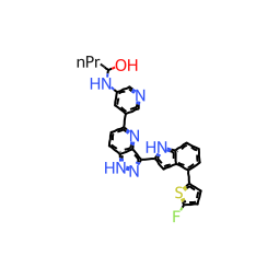 CCCC(O)Nc1cncc(-c2ccc3[nH]nc(-c4cc5c(-c6ccc(F)s6)cccc5[nH]4)c3n2)c1